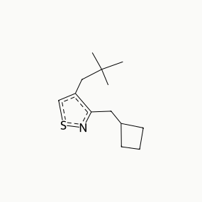 CC(C)(C)Cc1csnc1CC1CCC1